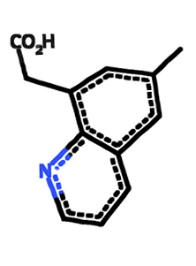 Cc1cc(CC(=O)O)c2ncccc2c1